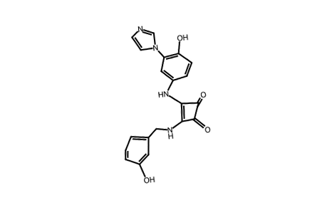 O=c1c(NCc2cccc(O)c2)c(Nc2ccc(O)c(-n3ccnc3)c2)c1=O